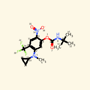 CN(c1cc(OC(=O)NC(C)(C)C)c([N+](=O)[O-])cc1C(F)(F)F)C1CC1